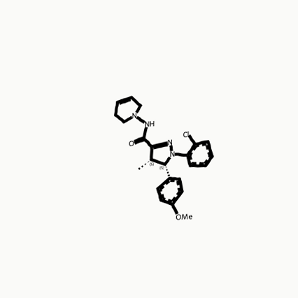 COc1ccc([C@@H]2[C@H](C)C(C(=O)NN3CC=CCC3)=NN2c2ccccc2Cl)cc1